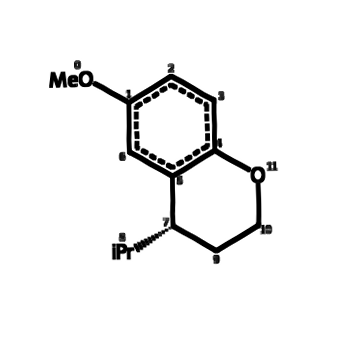 COc1ccc2c(c1)[C@@H](C(C)C)CCO2